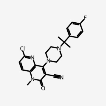 Cn1c(=O)c(C#N)c(N2CCN(C(C)(C)c3ccc(F)cc3)CC2)c2nc(Cl)ccc21